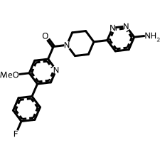 COc1cc(C(=O)N2CCC(c3ccc(N)nn3)CC2)ncc1-c1ccc(F)cc1